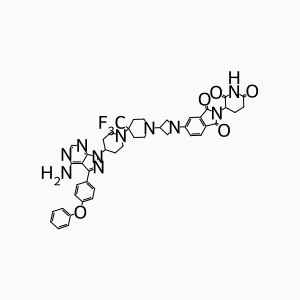 Nc1ncnc2c1c(-c1ccc(Oc3ccccc3)cc1)nn2C1CCN(C2(C(F)(F)F)CCN(C3CN(c4ccc5c(c4)C(=O)N(C4CCC(=O)NC4=O)C5=O)C3)CC2)CC1